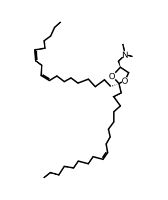 CCCCC/C=C\C/C=C\CCCCCCCC[C@@]1(CCCCCCCC/C=C\CCCCCCCC)OC[C@H](CN(C)C)O1